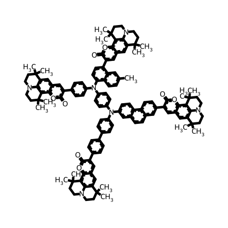 Cc1ccc2c(N(c3ccc(-c4cc5cc6c7c(c5oc4=O)C(C)(C)CCN7CCC6(C)C)cc3)c3ccc(N(c4ccc(-c5ccc(-c6cc7cc8c9c(c7oc6=O)C(C)(C)CCN9CCC8(C)C)cc5)cc4)c4ccc5c(ccc6cc(-c7cc8cc9c%10c(c8oc7=O)C(C)(C)CCN%10CCC9(C)C)ccc65)c4)cc3)ccc(-c3cc4cc5c6c(c4oc3=O)C(C)(C)CCN6CCC5(C)C)c2c1